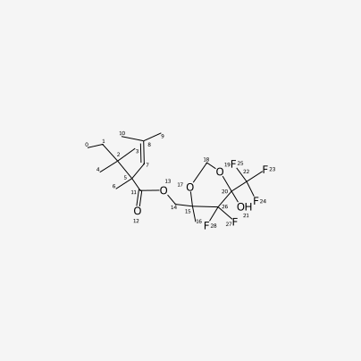 CCC(C)(C)C(C)(C=C(C)C)C(=O)OCC1(C)OCOC(O)(C(F)(F)F)C1(F)F